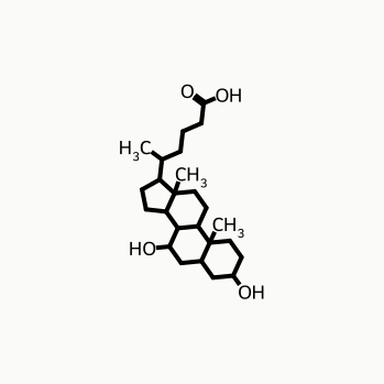 CC(CCCC(=O)O)C1CCC2C3C(O)CC4CC(O)CCC4(C)C3CCC12C